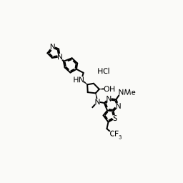 CNc1nc(N(C)[C@H]2C[C@@H](NCc3ccc(-n4ccnc4)cc3)C[C@H]2O)c2cc(CC(F)(F)F)sc2n1.Cl